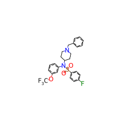 O=S(=O)(c1ccc(F)cc1)N(c1cccc(OC(F)(F)F)c1)C1CCN(Cc2ccccc2)CC1